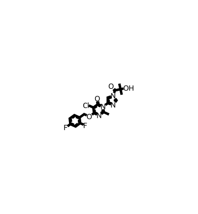 Cc1nc(OCc2ccc(F)cc2F)c(Cl)c(=O)n1-c1cn(C(=O)C(C)(C)O)cn1